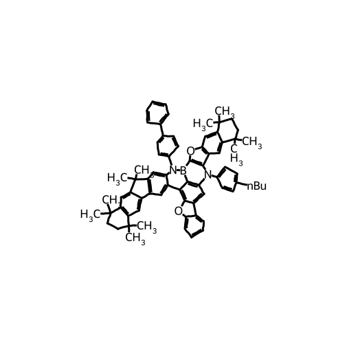 CCCCc1ccc(N2c3cc4c(oc5ccccc54)c4c3B(c3oc5cc6c(cc5c32)C(C)(C)CCC6(C)C)N(c2ccc(-c3ccccc3)cc2)c2cc3c(cc2-4)-c2cc4c(cc2C3(C)C)C(C)(C)CCC4(C)C)cc1